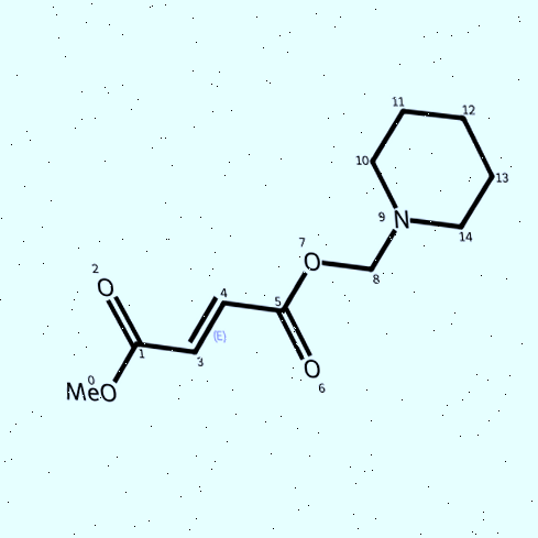 COC(=O)/C=C/C(=O)OCN1CCCCC1